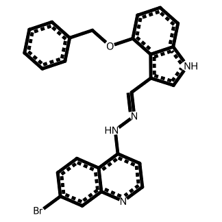 Brc1ccc2c(N/N=C/c3c[nH]c4cccc(OCc5ccccc5)c34)ccnc2c1